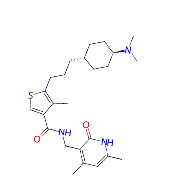 Cc1cc(C)c(CNC(=O)c2csc(CCC[C@H]3CC[C@H](N(C)C)CC3)c2C)c(=O)[nH]1